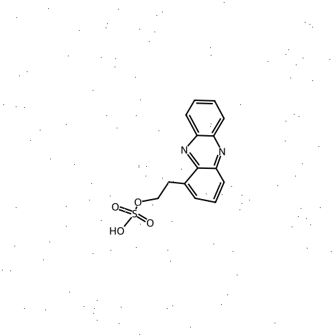 O=S(=O)(O)OCCc1cccc2nc3ccccc3nc12